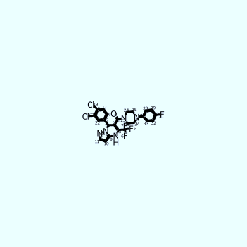 O=C(C1=C(C(F)(F)F)Nc2ccnn2C1c1ccc(Cl)c(Cl)c1)N1CCN(c2ccc(F)cc2)CC1